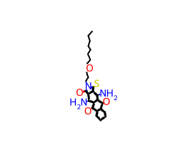 CCCCCCCCOCCCn1c(=O)c2c(N)c3c(=O)c4ccccc4c(=O)c3c(N)c2c1=S